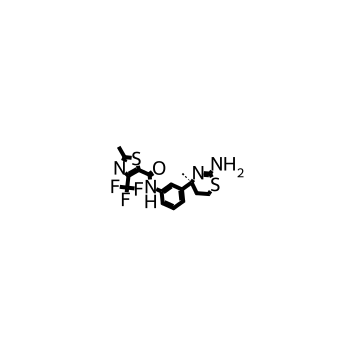 Cc1nc(C(F)(F)F)c(C(=O)Nc2cccc([C@]3(C)CCSC(N)=N3)c2)s1